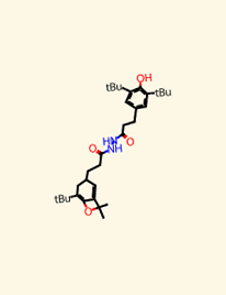 CC(C)(C)C1=C2OC(C)(C)C2=CC(CCC(=O)NNC(=O)CCc2cc(C(C)(C)C)c(O)c(C(C)(C)C)c2)C1